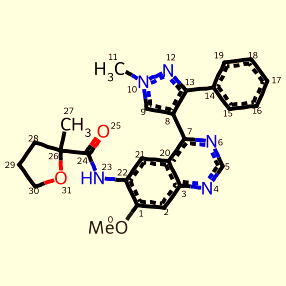 COc1cc2ncnc(-c3cn(C)nc3-c3ccccc3)c2cc1NC(=O)C1(C)CCCO1